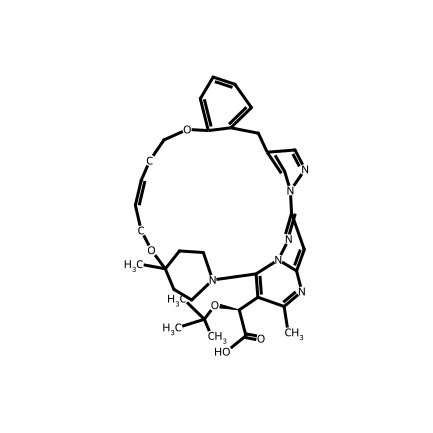 Cc1nc2cc3nn2c(c1[C@H](OC(C)(C)C)C(=O)O)N1CCC(C)(CC1)OC/C=C\CCOc1ccccc1Cc1cnn-3c1